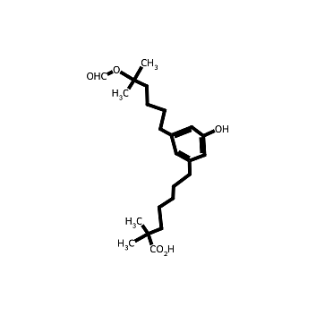 CC(C)(CCCCc1cc(O)cc(CCCCCC(C)(C)C(=O)O)c1)OC=O